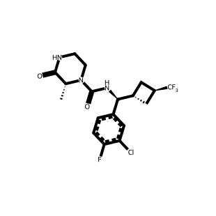 C[C@@H]1C(=O)NCCN1C(=O)N[C@H](c1ccc(F)c(Cl)c1)[C@H]1C[C@H](C(F)(F)F)C1